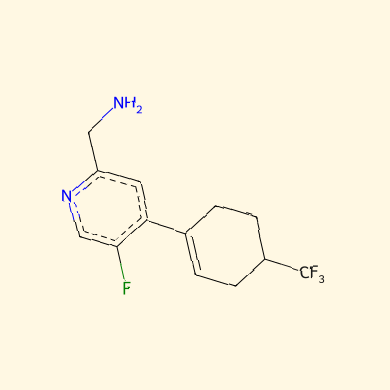 NCc1cc(C2=CCC(C(F)(F)F)CC2)c(F)cn1